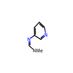 CN/C=N\c1cccnc1